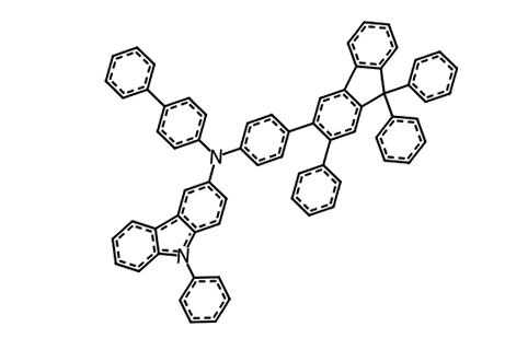 c1ccc(-c2ccc(N(c3ccc(-c4cc5c(cc4-c4ccccc4)C(c4ccccc4)(c4ccccc4)c4ccccc4-5)cc3)c3ccc4c(c3)c3ccccc3n4-c3ccccc3)cc2)cc1